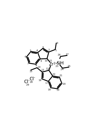 CCC1=Cc2ccccc2[CH]1[Zr+2]([CH]1C(CC)=Cc2ccccc21)[SiH](CC)CC.[Cl-].[Cl-]